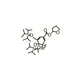 CO[C@@]1(O[Si](C(C)C)(C(C)C)C(C)C)C(CO[Si](C(C)C)(C(C)C)C(C)C)=CC(C(=O)OC2CCCO2)=C[C@]1(F)Br